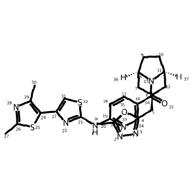 Cc1nnc(C[C@H]2C[C@H]3CC[C@@H](C2)N3C(=O)c2ccc(Nc3nc(-c4sc(C)nc4C)cs3)nc2)o1